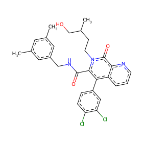 Cc1cc(C)cc(CNC(=O)c2c(-c3ccc(Cl)c(Cl)c3)c3cccnc3c(=O)n2CCC(C)CO)c1